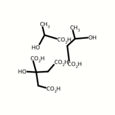 CC(O)C(=O)O.CC(O)CC(=O)O.O=C(O)CC(O)(CC(=O)O)C(=O)O